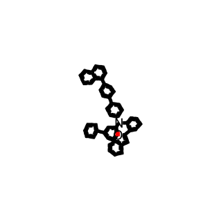 c1ccc(-c2cccc(N(c3ccc(-c4ccc(-c5cccc6ccccc56)cc4)cc3)c3ccccc3-c3cc4ccccc4o3)c2)cc1